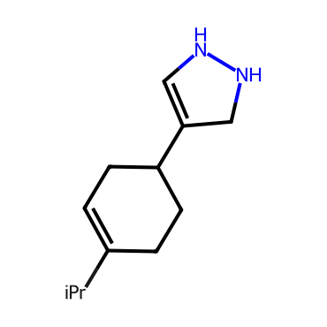 CC(C)C1=CCC(C2=CNNC2)CC1